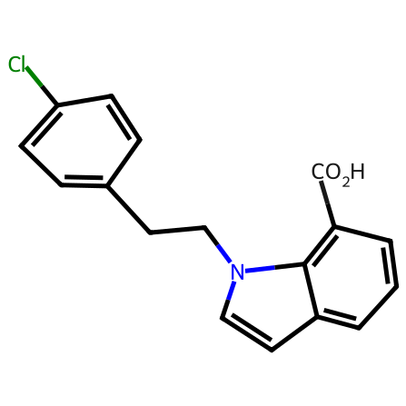 O=C(O)c1cccc2ccn(CCc3ccc(Cl)cc3)c12